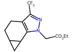 CCOC(=O)Cn1nc(C(F)(F)F)c2c1C1CC1CC2